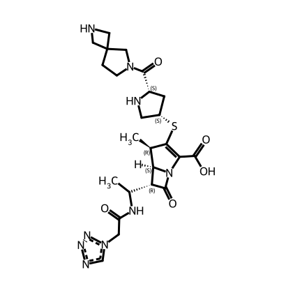 CC(NC(=O)Cn1cnnn1)[C@H]1C(=O)N2C(C(=O)O)=C(S[C@@H]3CN[C@H](C(=O)N4CCC5(CNC5)C4)C3)[C@H](C)[C@H]12